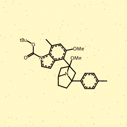 COc1cc(C)c2c(ccn2C(=O)OC(C)(C)C)c1CN1C2CCC1(c1ccc(C)cc1)CC(OC)C2